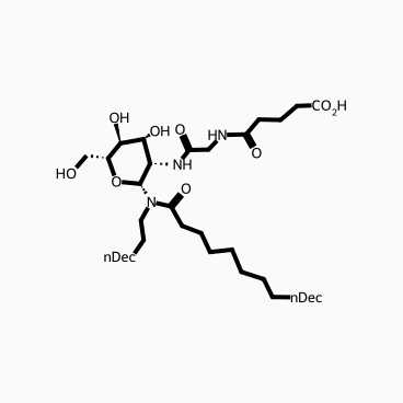 CCCCCCCCCCCCCCCCCC(=O)N(CCCCCCCCCCCC)[C@@H]1O[C@H](CO)[C@@H](O)[C@H](O)[C@@H]1NC(=O)CNC(=O)CCCC(=O)O